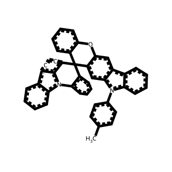 Cc1ccc(-n2c3ccccc3c3cc4c(cc32)C2(c3ccccc3O4)c3ccccc3-n3c4ccccc4c4cccc2c43)cc1